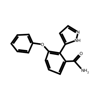 NC(=O)c1cccc(Oc2ccccc2)c1-c1ccn[nH]1